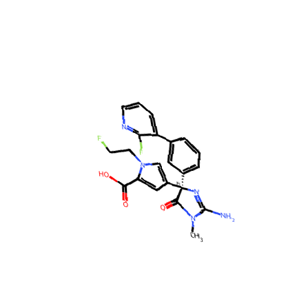 CN1C(=O)[C@@](c2cccc(-c3cccnc3F)c2)(c2cc(C(=O)O)n(CCF)c2)N=C1N